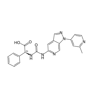 Cc1cc(-n2ncc3cc(NC(=O)N[C@H](C(=O)O)c4ccccc4)ncc32)ccn1